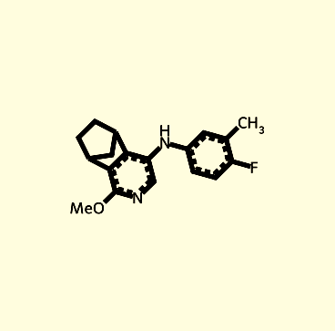 COc1ncc(Nc2ccc(F)c(C)c2)c2c1C1CCC2C1